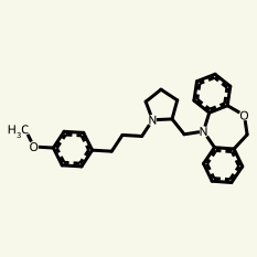 COc1ccc(CCCN2CCCC2CN2c3ccccc3COc3ccccc32)cc1